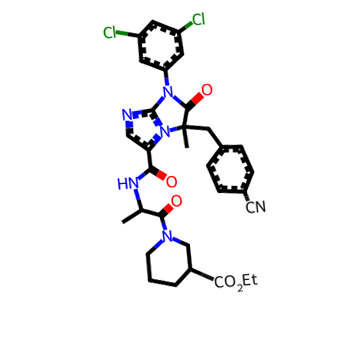 CCOC(=O)C1CCCN(C(=O)C(C)NC(=O)c2cnc3n2C(C)(Cc2ccc(C#N)cc2)C(=O)N3c2cc(Cl)cc(Cl)c2)C1